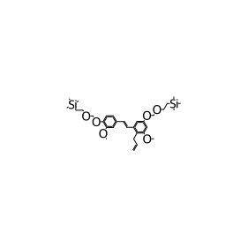 C=CCc1c(/C=C/c2ccc(OCOCC[Si](C)(C)C)c(OC)c2)cc(OCOCC[Si](C)(C)C)cc1OC